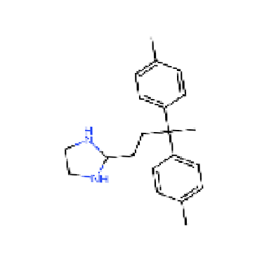 Cc1ccc(C(C)(CCC2NCCN2)c2ccc(C)cc2)cc1